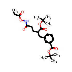 CCC(=O)ONC(=O)CCC(Cc1cccc(C(=O)OC(C)(C)C)c1)C(=O)OC(C)(C)C